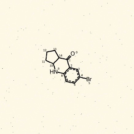 O=C1c2cc(Br)ccc2NC2CCCC12